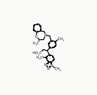 Cc1ccc(C(CC(=O)O)c2ccc3c(nnn3C)c2C)cc1CN1Cc2ccccc2O[C@H](C)C1